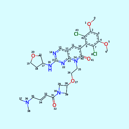 COc1cc(OC)c(Cl)c(-c2cc3cnc(NC4CCOC4)nc3n(CCOC3CN(C(=O)/C=C/CN(C)C)C3)c2=O)c1Cl